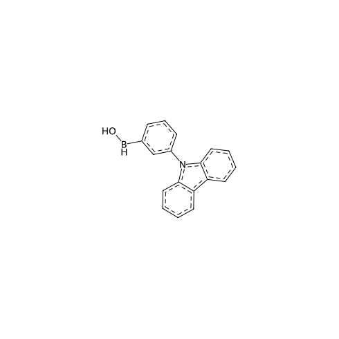 OBc1cccc(-n2c3ccccc3c3ccccc32)c1